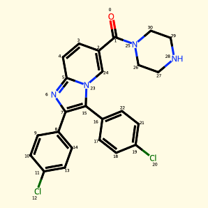 O=C(c1ccc2nc(-c3ccc(Cl)cc3)c(-c3ccc(Cl)cc3)n2c1)N1CCNCC1